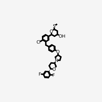 CSC1CC(O)CC(c2ccc(Cl)c(Cc3ccc(OC4CCN(C5CC[C@@H](c6cc(F)ccc6F)OC5)C4)cc3)c2)O1